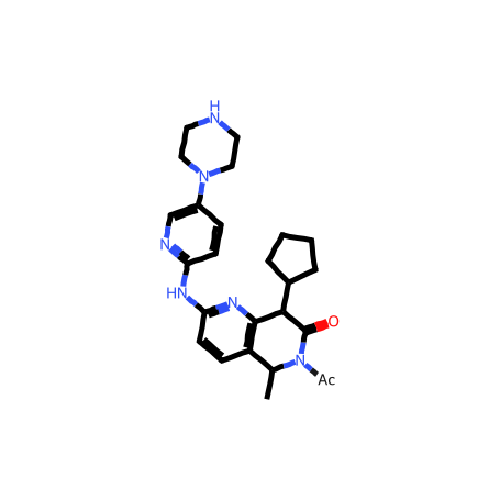 CC(=O)N1C(=O)C(C2CCCC2)c2nc(Nc3ccc(N4CCNCC4)cn3)ccc2C1C